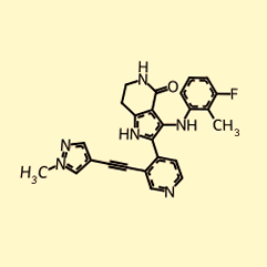 Cc1c(F)cccc1Nc1c(-c2ccncc2C#Cc2cnn(C)c2)[nH]c2c1C(=O)NCC2